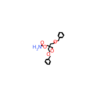 NC(=O)OCC(C=O)(CCOCc1ccccc1)CCOCc1ccccc1